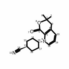 CC1(C)CC2=C(C(=O)O1)N([C@H]1CC[C@H](C#N)CC1)C=C=C2